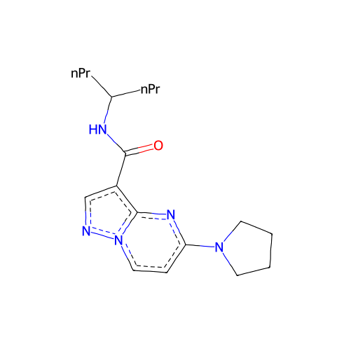 CCCC(CCC)NC(=O)c1cnn2ccc(N3CCCC3)nc12